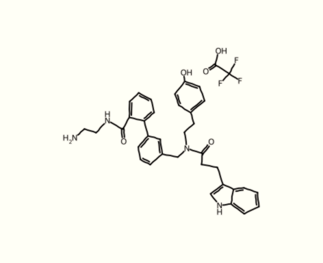 NCCNC(=O)c1ccccc1-c1cccc(CN(CCc2ccc(O)cc2)C(=O)CCc2c[nH]c3ccccc23)c1.O=C(O)C(F)(F)F